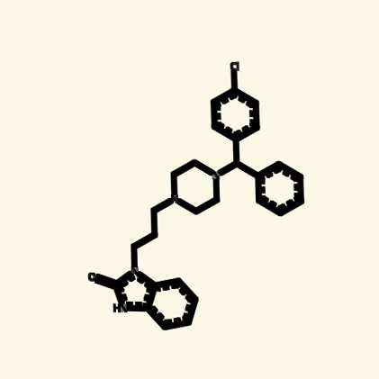 O=c1[nH]c2ccccc2n1CCCN1CCN(C(c2ccccc2)c2ccc(Cl)cc2)CC1